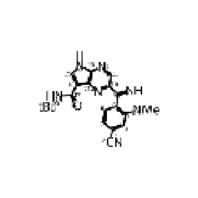 CNc1cc(C#N)ccc1C(=N)c1cnc2[nH]cc(C(=O)NC(C)(C)C)c2n1